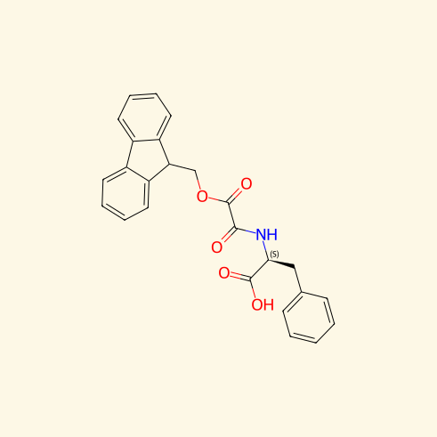 O=C(N[C@@H](Cc1ccccc1)C(=O)O)C(=O)OCC1c2ccccc2-c2ccccc21